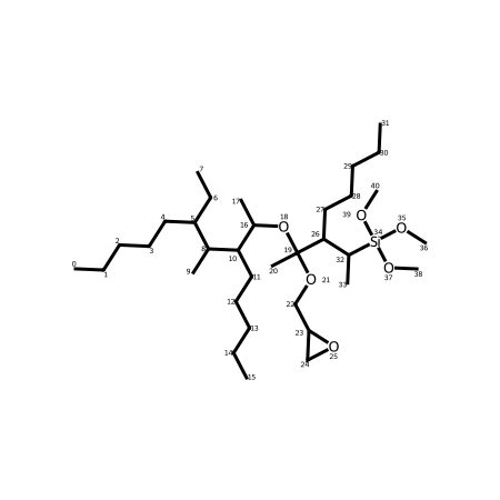 CCCCCC(CC)C(C)C(CCCCC)C(C)OC(C)(OCC1CO1)C(CCCCC)C(C)[Si](OC)(OC)OC